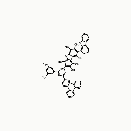 Bc1c(C2=c3oc4ccccc4c3=CCC2)c(C)c(O)c2sc3c(O)c(-c4nc(-c5cc(C)cc(C)c5)nc(-c5ccc6c7ccccc7c7ccccc7c6c5)n4)c(O)c(O)c3c12